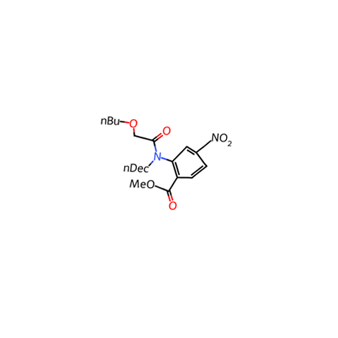 CCCCCCCCCCN(C(=O)COCCCC)c1cc([N+](=O)[O-])ccc1C(=O)OC